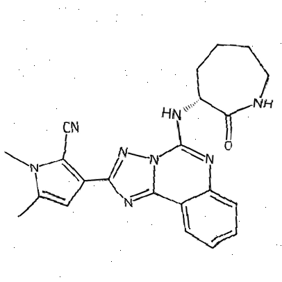 Cc1cc(-c2nc3c4ccccc4nc(N[C@@H]4CCCCNC4=O)n3n2)c(C#N)n1C